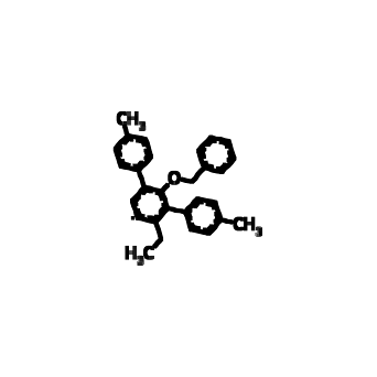 CCc1[c]cc(-c2ccc(C)cc2)c(OCc2ccccc2)c1-c1ccc(C)cc1